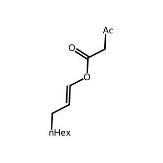 CCCCCCCC=COC(=O)CC(C)=O